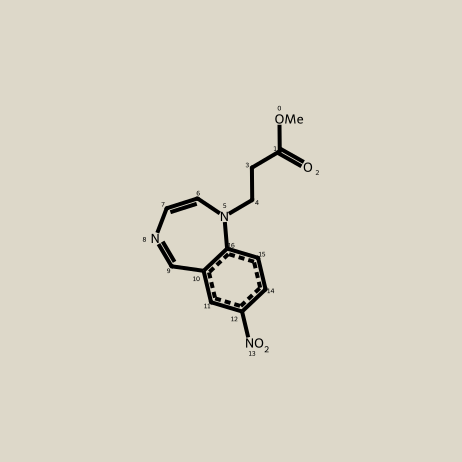 COC(=O)CCN1C=CN=Cc2cc([N+](=O)[O-])ccc21